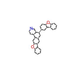 c1ccc2c(c1)oc1ccc(-c3cc4cc5c(cc4c4ccncc34)oc3ccccc35)cc12